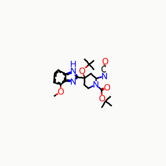 COc1cccc2[nH]c(C3(OC(C)(C)C)CCN(C(=O)OC(C)(C)C)C(N=C=O)C3)nc12